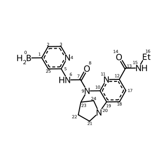 Bc1ccnc(NC(=O)N2c3nc(C(=O)NCC)ccc3N3CCC2C3)c1